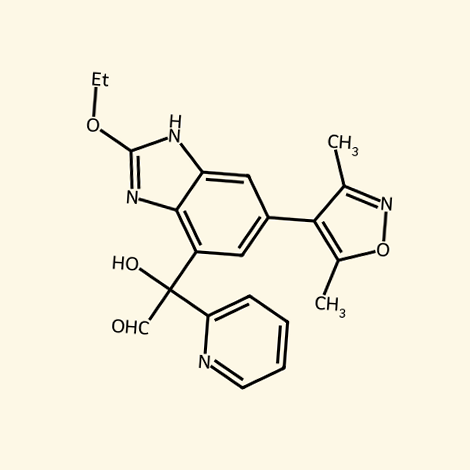 CCOc1nc2c(C(O)(C=O)c3ccccn3)cc(-c3c(C)noc3C)cc2[nH]1